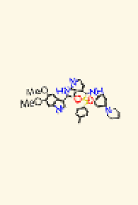 COc1cc2c(-c3cc4c(C(Nc5ccc(N6CCCCC6)cc5)S(=O)(=O)c5ccc(C)cc5)ccnc4[nH]3)cn(C)c2cc1OC